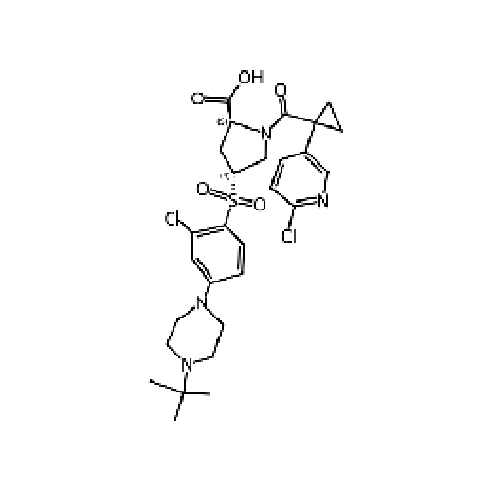 CC(C)(C)N1CCN(c2ccc(S(=O)(=O)[C@@H]3C[C@@H](C(=O)O)N(C(=O)C4(c5ccc(Cl)nc5)CC4)C3)c(Cl)c2)CC1